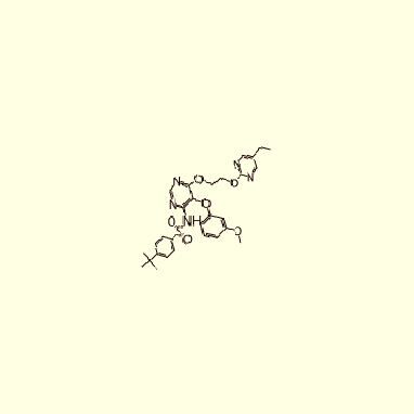 CCc1cnc(OCCOc2ncnc(NS(=O)(=O)c3ccc(C(C)(C)C)cc3)c2Oc2cccc(OC)c2)nc1